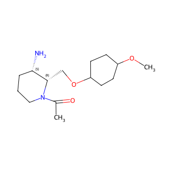 COC1CCC(OC[C@H]2[C@@H](N)CCCN2C(C)=O)CC1